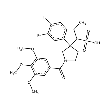 CCC(C1(c2ccc(F)c(F)c2)CCN(C(=O)c2cc(OC)c(OC)c(OC)c2)C1)S(=O)(=O)O